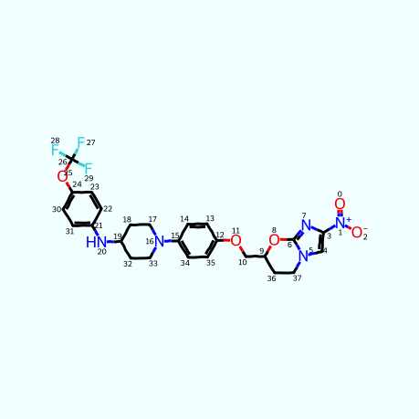 O=[N+]([O-])c1cn2c(n1)OC(COc1ccc(N3CCC(Nc4ccc(OC(F)(F)F)cc4)CC3)cc1)CC2